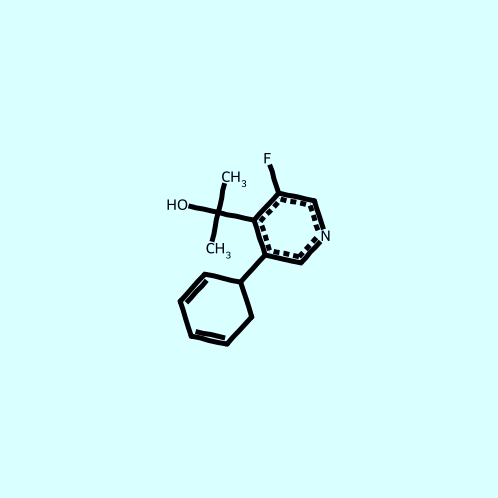 CC(C)(O)c1c(F)cncc1C1C=CC=CC1